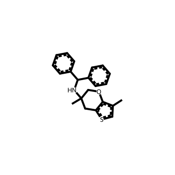 Cc1csc2c1OCC(C)(NC(c1ccccc1)c1ccccc1)C2